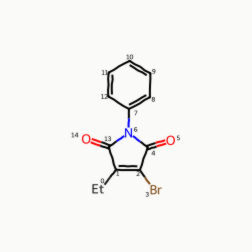 CCC1=C(Br)C(=O)N(c2ccccc2)C1=O